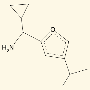 CC(C)c1coc(C(N)C2CC2)c1